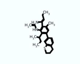 C=CNc1c(/C(N)=C/CC)c(C)cc(-c2ccc3c(c2)SCCC3)c1C(C)CC